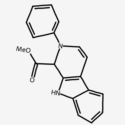 COC(=O)C1c2[nH]c3ccccc3c2C=CN1c1ccccc1